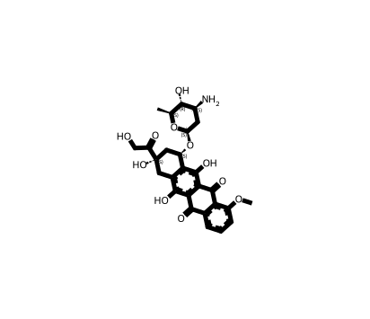 COc1cccc2c1C(=O)c1c(O)c3c(c(O)c1C2=O)C[C@@](O)(C(=O)CO)C[C@@H]3O[C@@H]1C[C@H](N)[C@@H](O)[C@H](C)O1